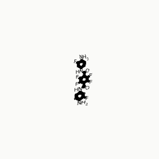 Nc1ccc(NC(=O)c2c(F)c(F)c(C(=O)Nc3ccc(N)c(F)c3)c(F)c2F)cc1F